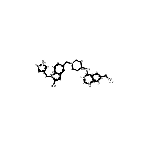 N#Cc1cc2cc(CN3CCC(Nc4ncnc5sc(CC(F)(F)F)cc45)CC3)ccc2n1Cc1cn[nH]c1